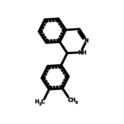 Cc1ccc(C2NN=Cc3ccccc32)cc1C